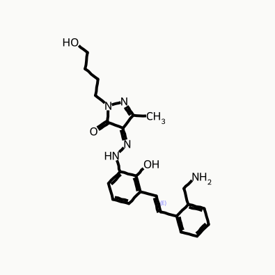 CC1=NN(CCCCO)C(=O)C1=NNc1cccc(/C=C/c2ccccc2CN)c1O